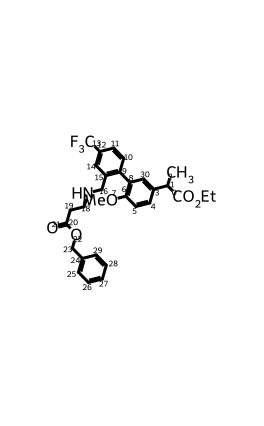 CCOC(=O)C(C)c1ccc(OC)c(-c2ccc(C(F)(F)F)cc2CNCCC(=O)OCc2ccccc2)c1